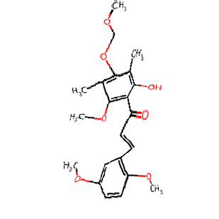 COCOc1c(C)c(O)c(C(=O)C=Cc2cc(OC)ccc2OC)c(OC)c1C